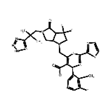 Cc1c(F)cccc1[C@@H]1N=C(c2nccs2)NC(CN2CC(F)(F)C3C(=O)N(CC(C)(C)c4nn[nH]n4)CC32)=C1C(=O)O